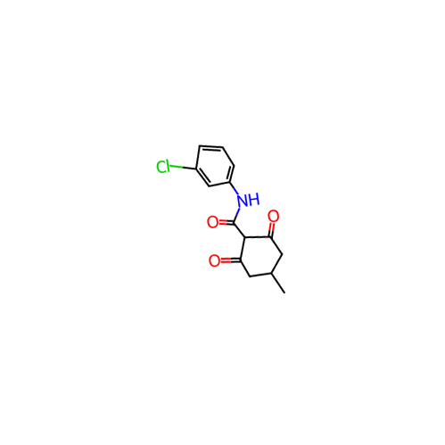 CC1CC(=O)C(C(=O)Nc2cccc(Cl)c2)C(=O)C1